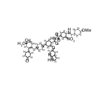 COC1CCC(CNc2ccc(S(=O)(=O)NC(=O)c3ccc(N4CCN(CC5=C(c6ccc(Cl)cc6)CC(C)(C)CC5)CC4)cc3Oc3cnc4[nH]ccc4c3)cc2[N+](=O)[O-])CC1